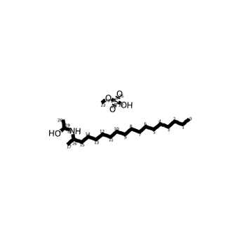 CCCCCCCCCCCCCCCCC(C)NC(C)O.COS(=O)(=O)O